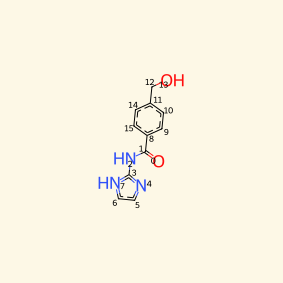 O=C(Nc1ncc[nH]1)c1ccc(CO)cc1